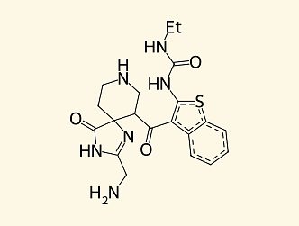 CCNC(=O)Nc1sc2ccccc2c1C(=O)C1CNCCC12N=C(CN)NC2=O